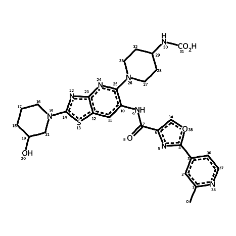 Cc1cc(-c2nc(C(=O)Nc3cc4sc(N5CCCC(O)C5)nc4nc3N3CCC(NC(=O)O)CC3)co2)ccn1